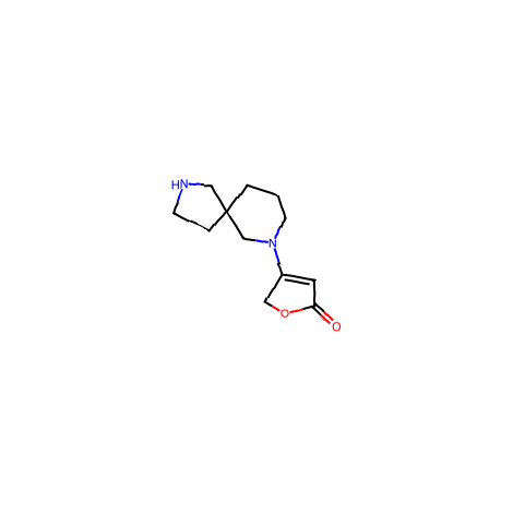 O=C1C=C(N2CCCC3(CCNC3)C2)CO1